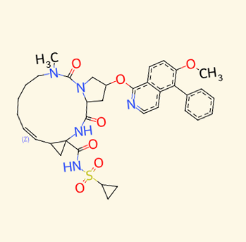 COc1ccc2c(OC3CC4C(=O)NC5(C(=O)NS(=O)(=O)C6CC6)CC5/C=C\CCCCN(C)C(=O)N4C3)nccc2c1-c1ccccc1